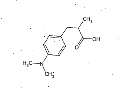 CC(Cc1ccc(N(C)C)cc1)C(=O)O